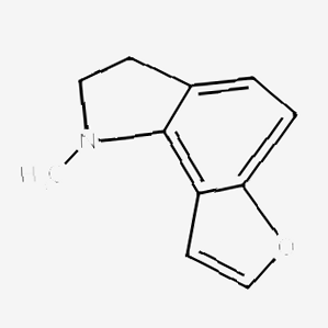 CN1CCc2ccc3occc3c21